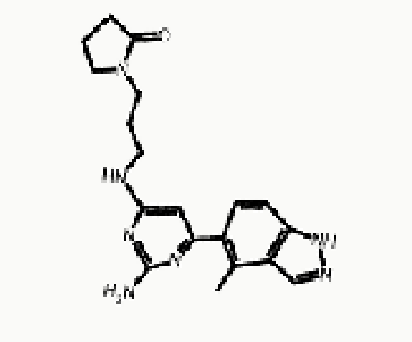 Cc1c(-c2cc(NCCCN3CCCC3=O)nc(N)n2)ccc2[nH]ncc12